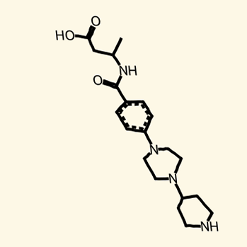 CC(CC(=O)O)NC(=O)c1ccc(N2CCN(C3CCNCC3)CC2)cc1